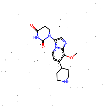 COc1c(C2CCNCC2)ccn2c(N3CCC(=O)NC3=O)cnc12